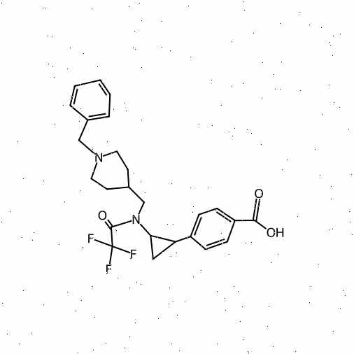 O=C(O)c1ccc(C2CC2N(CC2CCN(Cc3ccccc3)CC2)C(=O)C(F)(F)F)cc1